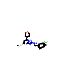 Cc1cc(C2CCOCC2)n2nc(NCc3cccc(Cl)c3)nc2n1